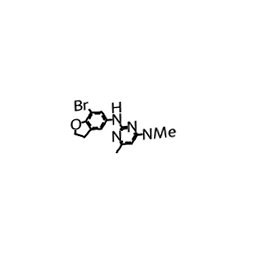 CNc1cc(C)nc(Nc2cc(Br)c3c(c2)CCO3)n1